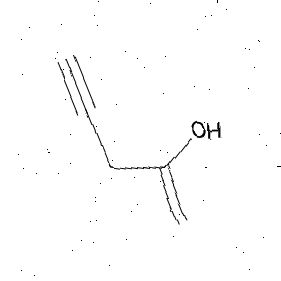 C#CCC(=C)O